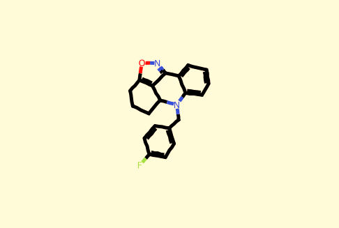 Fc1ccc(CN2c3ccccc3-c3noc4c3C2CCC4)cc1